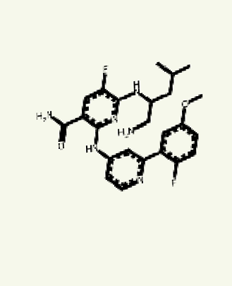 COc1ccc(F)c(-c2cc(Nc3nc(NC(CN)CC(C)C)c(F)cc3C(N)=O)ccn2)c1